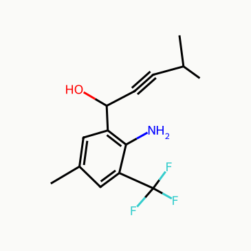 Cc1cc(C(O)C#CC(C)C)c(N)c(C(F)(F)F)c1